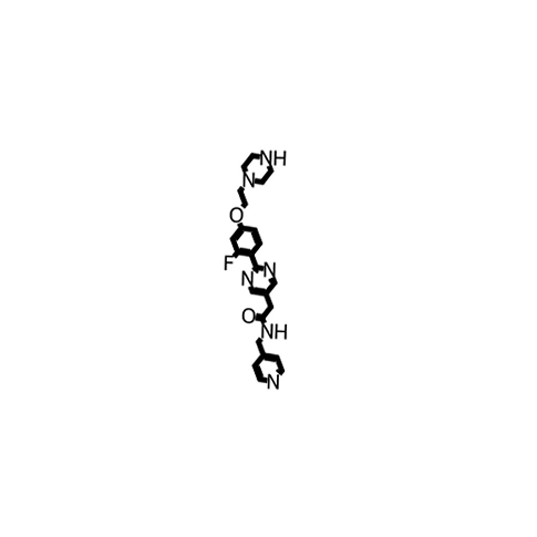 O=C(Cc1cnc(-c2ccc(OCCN3CCNCC3)cc2F)nc1)NCc1ccncc1